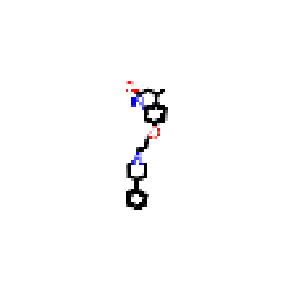 CC1CC(=O)Nc2cc(OCCCN3CCC(c4ccccc4)CC3)ccc21